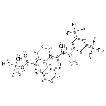 CC(c1cc(C(F)(F)F)cc(C(F)(F)F)c1)N(C)C(=O)N1CCC[C@H](N(C)C(=O)OC(C)(C)C)[C@H]1c1ccccc1